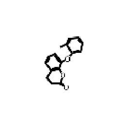 Cc1ccccc1Oc1cccc2c1OC(=O)CC2